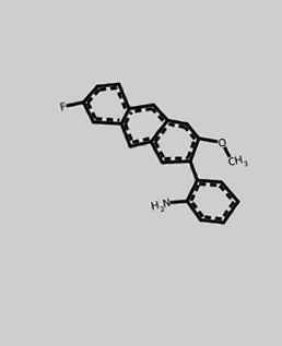 COc1cc2cc3ccc(F)cc3cc2cc1-c1ccccc1N